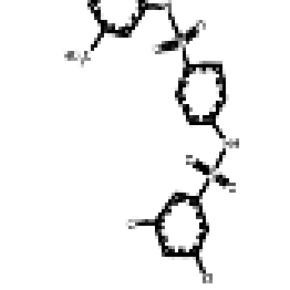 O=C(O)c1cccc(NS(=O)(=O)c2ccc(NS(=O)(=O)c3cc(Cl)cc(Cl)c3)cc2)c1